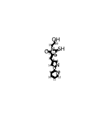 O=C1/C(=C/c2cnn(-c3ccccn3)c2)SC(S)N1CCO